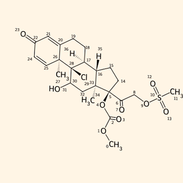 COC(=O)O[C@]1(C(=O)COS(C)(=O)=O)CC[C@H]2[C@@H]3CCC4=CC(=O)C=C[C@]4(C)[C@@]3(Cl)C(O)C[C@@]21C